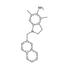 Cc1cc2c(c(C)c1N)CCN2Cc1ccc2ccccc2c1